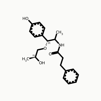 CC(NC(=O)CCc1ccccc1)[C@H](OC[C@H](C)O)c1ccc(O)cc1